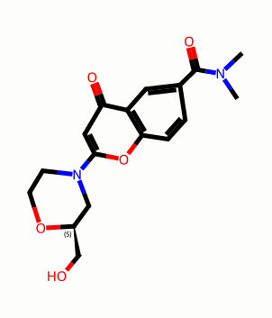 CN(C)C(=O)c1ccc2oc(N3CCO[C@H](CO)C3)cc(=O)c2c1